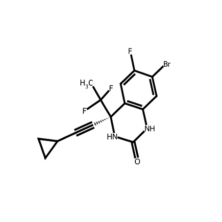 CC(F)(F)[C@]1(C#CC2CC2)NC(=O)Nc2cc(Br)c(F)cc21